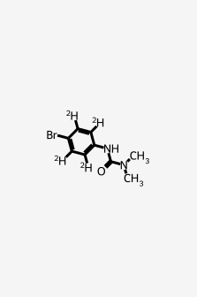 [2H]c1c([2H])c(NC(=O)N(C)C)c([2H])c([2H])c1Br